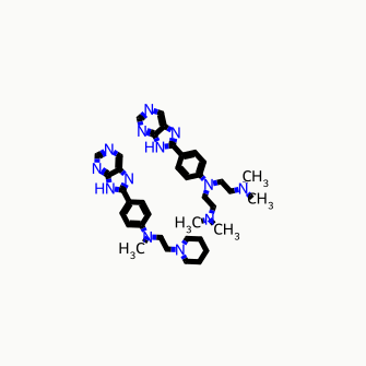 CN(C)CCN(CCN(C)C)c1ccc(-c2nc3cncnc3[nH]2)cc1.CN(CCN1CCCCC1)c1ccc(-c2nc3cncnc3[nH]2)cc1